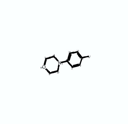 [CH]c1ccc(N2CCOCC2)cc1